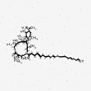 CCC=CCC=CCC=CCC=CCC=CCC=CCCC(=O)N1C[C@H](C)C[C@@](C)(O)[C@H](O[C@@H]2O[C@H](C)C[C@H](N(C)C)[C@H]2O)[C@@H](C)[C@@H](O)[C@H](C)COC(=O)[C@@](C)(O)[C@H](O)[C@H]1C